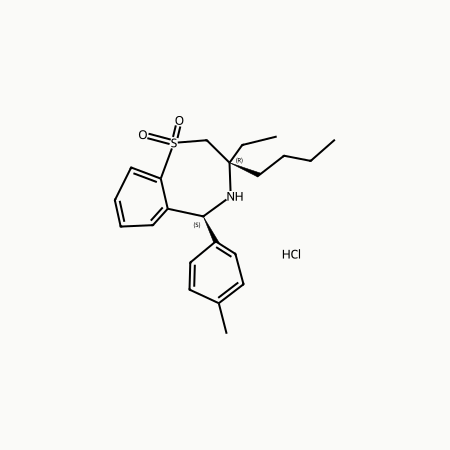 CCCC[C@]1(CC)CS(=O)(=O)c2ccccc2[C@H](c2ccc(C)cc2)N1.Cl